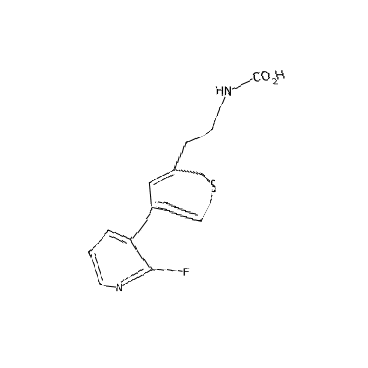 O=C(O)NCCc1cc(-c2cccnc2F)cs1